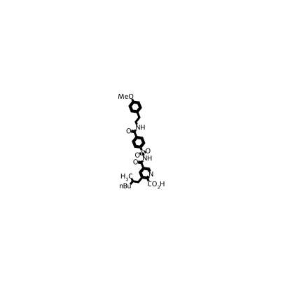 CCCCC(C)Cc1cc(C(=O)NS(=O)(=O)c2ccc(C(=O)NCCc3ccc(OC)cc3)cc2)cnc1C(=O)O